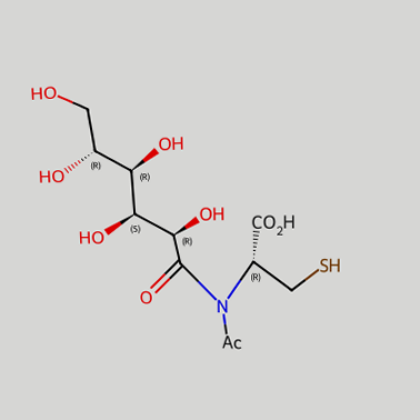 CC(=O)N(C(=O)[C@H](O)[C@@H](O)[C@H](O)[C@H](O)CO)[C@@H](CS)C(=O)O